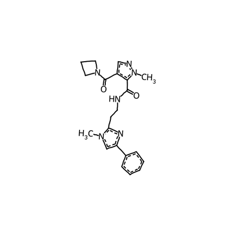 Cn1cc(-c2ccccc2)nc1CCNC(=O)c1c(C(=O)N2CCC2)cnn1C